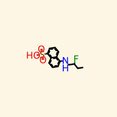 CCC(F)CNc1cccc2c(S(=O)(=O)O)cccc12